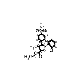 CCOC(=O)c1nn(-c2ccccc2Cl)c(-c2ccc(S(N)(=O)=O)cc2)c1C